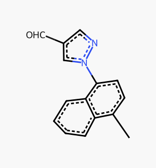 Cc1ccc(-n2cc(C=O)cn2)c2ccccc12